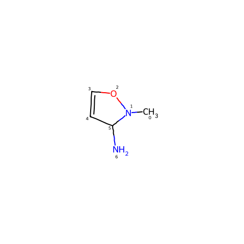 CN1OC=CC1N